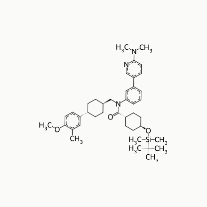 COc1ccc([C@H]2CC[C@H](CN(c3cccc(-c4ccc(N(C)C)nc4)c3)C(=O)[C@H]3CC[C@H](O[Si](C)(C)C(C)(C)C)CC3)CC2)cc1C